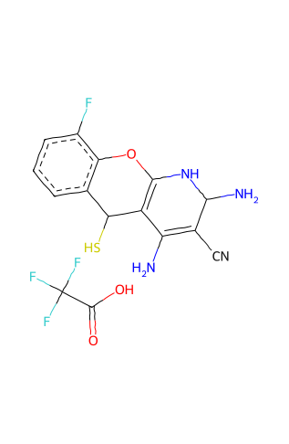 N#CC1=C(N)C2=C(NC1N)Oc1c(F)cccc1C2S.O=C(O)C(F)(F)F